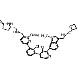 COc1nc(-c2cccc(-c3ccnc(-c4ccc5c(CNC[C@@H]6CCO6)cn(C)c5c4)c3Cl)c2Cl)ccc1CNC[C@@H]1CCC(=O)N1